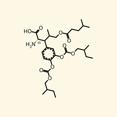 CCC(C)COC(=O)Oc1ccc(C(C(C)COC(=O)CCC(C)C)[C@H](N)C(=O)O)cc1OC(=O)OCC(C)CC